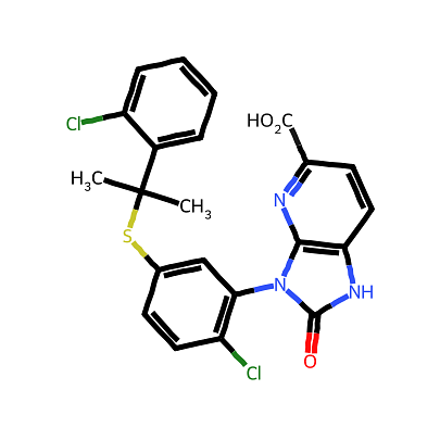 CC(C)(Sc1ccc(Cl)c(-n2c(=O)[nH]c3ccc(C(=O)O)nc32)c1)c1ccccc1Cl